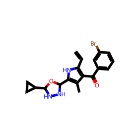 C=Cc1[nH]c(C2NNC(C3CC3)O2)c(C)c1C(=O)c1cccc(Br)c1